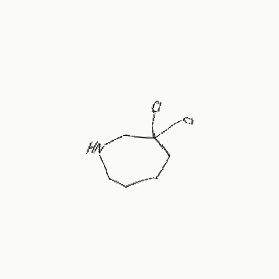 ClC1(Cl)CCCNC1